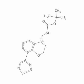 CC(C)(C)OC(=O)NC[C@@H]1CCOc2c(-c3cnccn3)cccc21